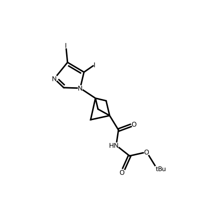 CC(C)(C)OC(=O)NC(=O)C12CC(n3cnc(I)c3I)(C1)C2